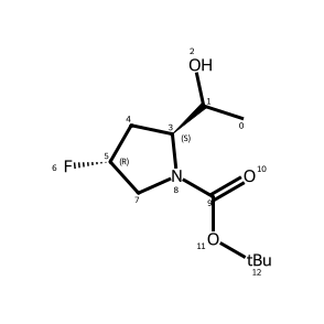 CC(O)[C@@H]1C[C@@H](F)CN1C(=O)OC(C)(C)C